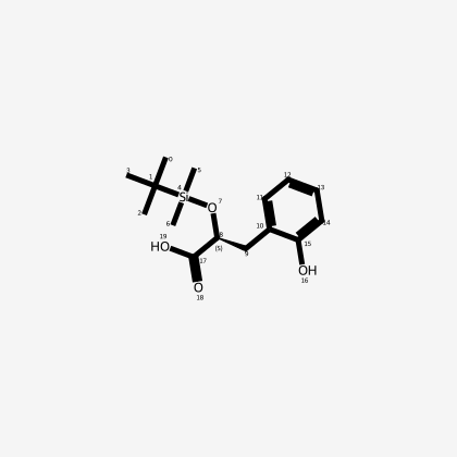 CC(C)(C)[Si](C)(C)O[C@@H](Cc1ccccc1O)C(=O)O